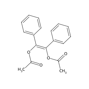 CC(=O)OC(=C(OC(C)=O)c1ccccc1)c1ccccc1